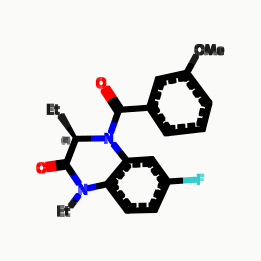 CC[C@@H]1C(=O)N(CC)c2ccc(F)cc2N1C(=O)c1cccc(OC)c1